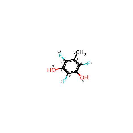 Cc1c(F)c(O)c(F)c(O)c1F